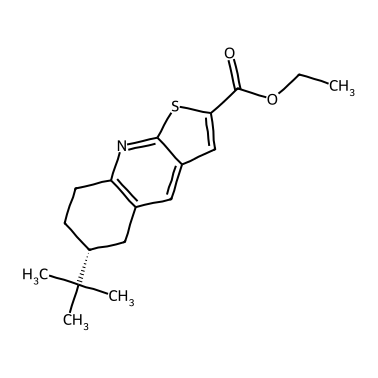 CCOC(=O)c1cc2cc3c(nc2s1)CC[C@@H](C(C)(C)C)C3